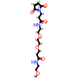 COCCNC(=O)CCOCCOCCNC(=O)CCN1C(=O)C=CC1=O